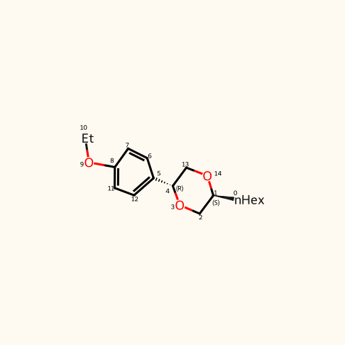 CCCCCC[C@H]1CO[C@H](c2ccc(OCC)cc2)CO1